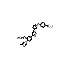 COc1cc(-c2cn(C3CCN(Cc4ccc(C(C)(C)C)cc4)C3)nn2)ccc1-n1cnc(C)c1